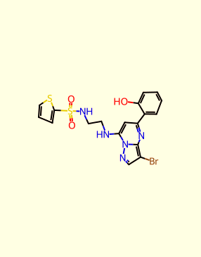 O=S(=O)(NCCNc1cc(-c2ccccc2O)nc2c(Br)cnn12)c1cccs1